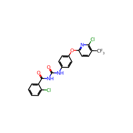 O=C(NC(=O)c1ccccc1Cl)Nc1ccc(Oc2ccc(C(F)(F)F)c(Cl)n2)cc1